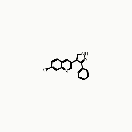 Clc1ccc2cc(C3CNN=C3c3ccccc3)cnc2c1